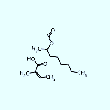 CC=C(C)C(=O)O.CCCCCCC(C)ON=O